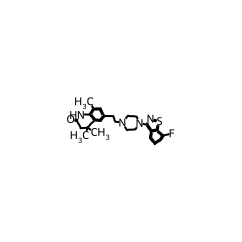 Cc1cc(CCN2CCN(c3nsc4c(F)cccc34)CC2)cc2c1NC(=O)CC2(C)C